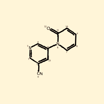 N#Cc1cncc(-n2ccccc2=O)c1